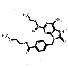 CCCS(=N)c1nc(N)c2[nH]c(=O)n(Cc3ccc(C(=O)NCCOC)cc3)c2n1